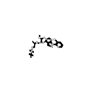 COC(=O)[C@H](COC(C)CO[Si](C)(C)C(C)(C)C)Oc1ncnc2c1cnn2-c1ncccc1Cl